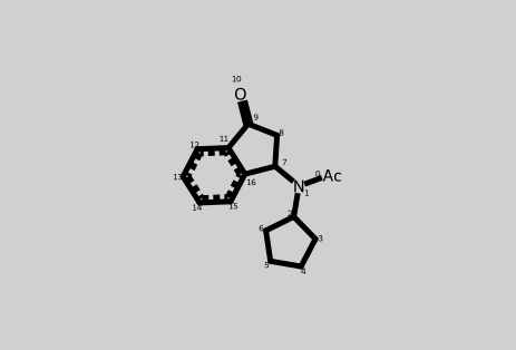 CC(=O)N(C1CCCC1)C1CC(=O)c2ccccc21